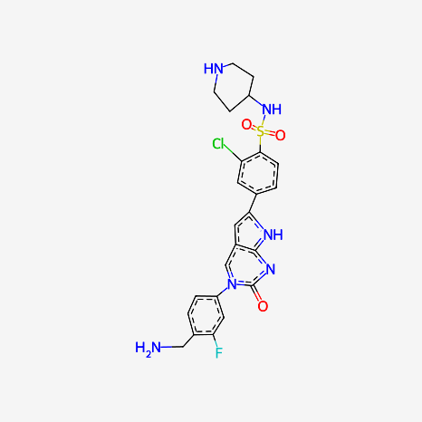 NCc1ccc(-n2cc3cc(-c4ccc(S(=O)(=O)NC5CCNCC5)c(Cl)c4)[nH]c3nc2=O)cc1F